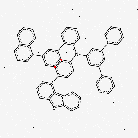 c1ccc(-c2cc(-c3ccccc3)cc(N(c3ccc(-c4cccc5sc6ccccc6c45)cc3)c3ccccc3-c3cccc(-c4cccc5ccccc45)c3)c2)cc1